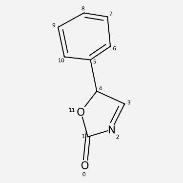 O=C1N=CC(c2ccccc2)O1